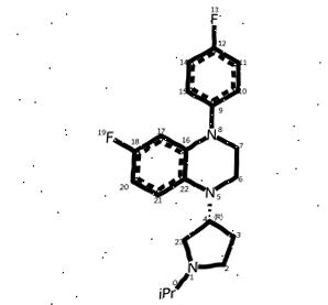 CC(C)N1CC[C@@H](N2CCN(c3ccc(F)cc3)c3cc(F)ccc32)C1